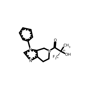 C[C@@](O)(C(=O)N1CCc2ncn(-c3ccccc3)c2C1)C(F)(F)F